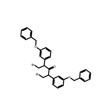 O=C(C(CBr)c1cccc(OCc2ccccc2)c1)C(CBr)c1cccc(OCc2ccccc2)c1